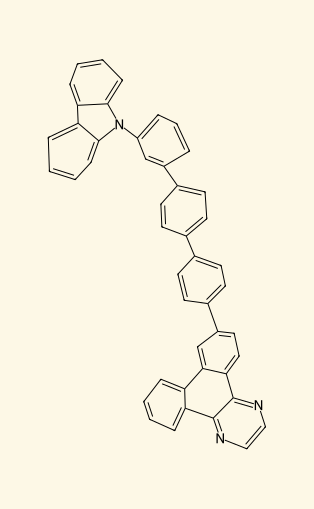 c1cc(-c2ccc(-c3ccc(-c4ccc5c(c4)c4ccccc4c4nccnc54)cc3)cc2)cc(-n2c3ccccc3c3ccccc32)c1